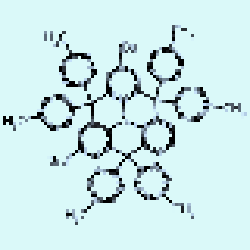 Cc1ccc(C2(c3ccc(C)cc3)c3cccc4c3N3c5c2cc(C(C)(C)C)cc5C(c2ccc(C)cc2)(c2ccc(C)cc2)c2cc(C(C)(C)C)cc(c23)C4(c2ccc(C)cc2)c2ccc(C)cc2)cc1